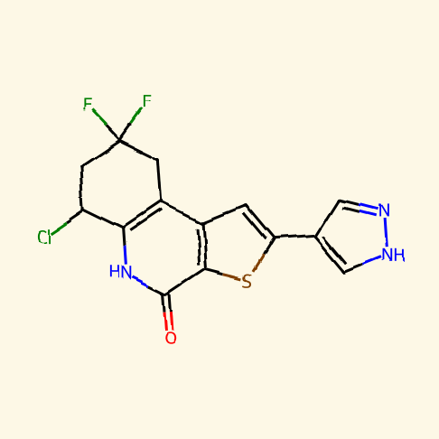 O=c1[nH]c2c(c3cc(-c4cn[nH]c4)sc13)CC(F)(F)CC2Cl